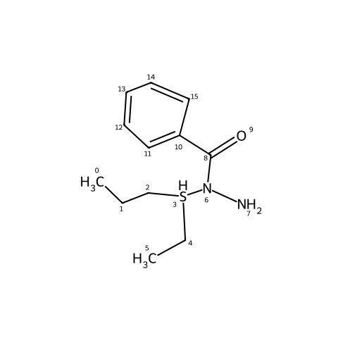 CCC[SH](CC)N(N)C(=O)c1ccccc1